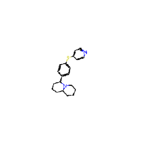 c1cc(Sc2ccc(C3CCCC4CCCCN43)cc2)ccn1